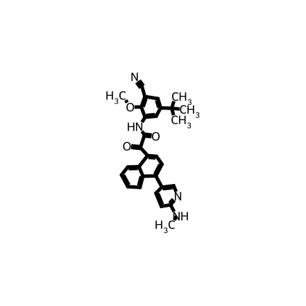 CNc1ccc(-c2ccc(C(=O)C(=O)Nc3cc(C(C)(C)C)cc(C#N)c3OC)c3ccccc23)cn1